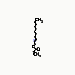 C[CH]C(=O)OC/C=C/CCCCCCCC